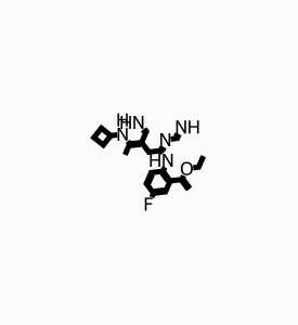 C=C(OCC)c1cc(F)ccc1N/C(C/C(C=N)=C(\C)NC1CCC1)=N\C=N